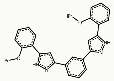 CC(C)Oc1ccccc1-c1cc(-c2cccc(-c3cc(-c4ccccc4OC(C)C)[nH]n3)c2)n[nH]1